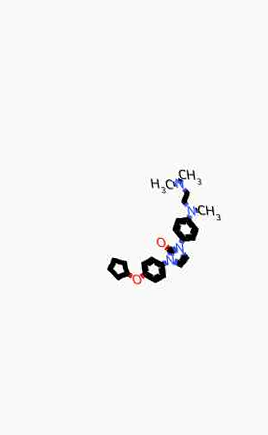 CN(C)CCN(C)c1ccc(-n2ccn(-c3ccc(OC4CCCC4)cc3)c2=O)cc1